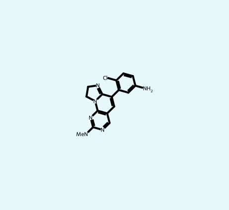 CNc1ncc2c(n1)N1CCN=C1C(c1cc(N)ccc1Cl)=C2